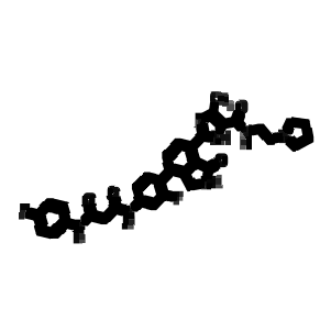 Cc1nc(-c2ccc(-c3ccc(NC(=O)CC(=O)Nc4ccc(F)cc4)cc3F)c3c2C(=O)NC3)[nH]c1C(=O)NCCN1CCCC1